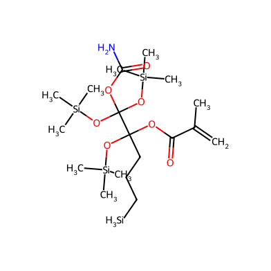 C=C(C)C(=O)OC(CCC[SiH3])(O[Si](C)(C)C)C(OC(N)=O)(O[Si](C)(C)C)O[Si](C)(C)C